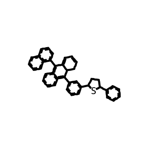 C1=CCC2C(=C1)C(c1cccc3ccccc13)=c1ccccc1=C2c1cccc(C2CCC(c3ccccc3)S2)c1